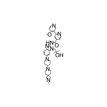 COc1ccncc1-c1cc(C(=O)Nc2nc3ccc(N4CCC(N5CCC6(CC5)CN(C)C6)CC4)cc3n2CC(C)(C)O)ccn1